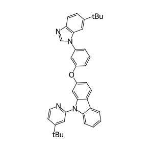 CC(C)(C)c1ccnc(-n2c3ccccc3c3ccc(Oc4cccc(-n5cnc6ccc(C(C)(C)C)cc65)c4)cc32)c1